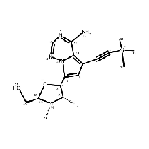 C[C@H]1[C@@H](F)[C@H](c2cc(C#C[Si](C)(C)C)c3c(N)ncnn23)O[C@@H]1CO